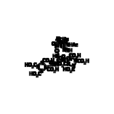 CCC(C)[C@H](NC(=O)[C@H](Cc1c[nH]cn1)NC(C)=O)C(=O)N[C@@H](CC(C)C)C(=O)NCc1ccc(CNC(=O)CN(CCNC(=O)CCC(C(=O)O)N2CCN(CC(=O)O)CCN(CC(=O)O)CCN(CC(=O)O)CC2)CCNC(=O)CCC(C(=O)O)N2CCN(CC(=O)O)CCN(CC(=O)O)CCN(CC(=O)O)CC2)cc1